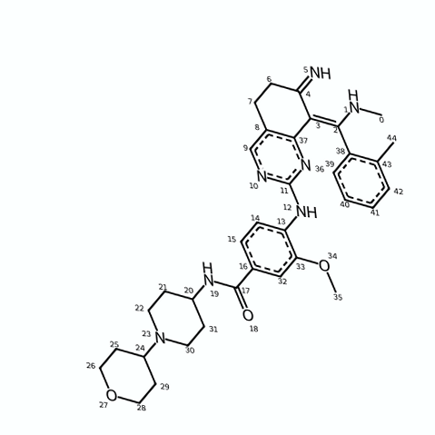 CN/C(=C1\C(=N)CCc2cnc(Nc3ccc(C(=O)NC4CCN(C5CCOCC5)CC4)cc3OC)nc21)c1ccccc1C